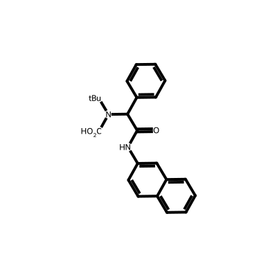 CC(C)(C)N(C(=O)O)C(C(=O)Nc1ccc2ccccc2c1)c1ccccc1